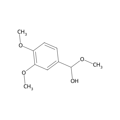 COc1ccc(C(O)OC)cc1OC